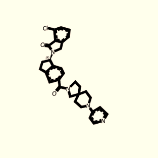 O=C(c1ccc2c(c1)CC[C@H]2N1Cc2cccc(Cl)c2C1=O)N1CCC2(CCN(c3ccncc3)CC2)C1